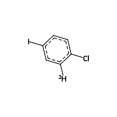 [2H]c1cc(I)ccc1Cl